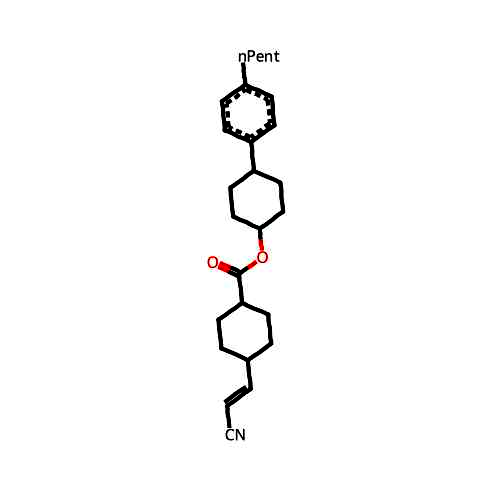 CCCCCc1ccc(C2CCC(OC(=O)C3CCC(/C=C/C#N)CC3)CC2)cc1